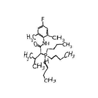 CCCC[PH](CCCC)(CCCC)C(C(=O)Nc1c(C)cc(F)cc1C)C(C)C